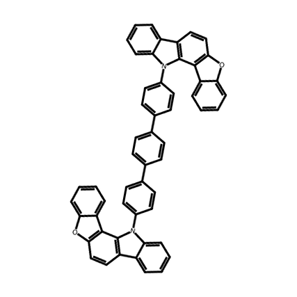 c1ccc2c(c1)oc1ccc3c4ccccc4n(-c4ccc(-c5ccc(-c6ccc(-n7c8ccccc8c8ccc9oc%10ccccc%10c9c87)cc6)cc5)cc4)c3c12